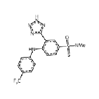 CNS(=O)(=S)c1ccc(Nc2ccc(C(F)(F)F)cc2)c(-c2nn[nH]n2)c1